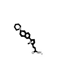 Cn1c(C=CC(N)=O)ccc1-c1ccc2cc(N3CCCCC3)ccc2c1